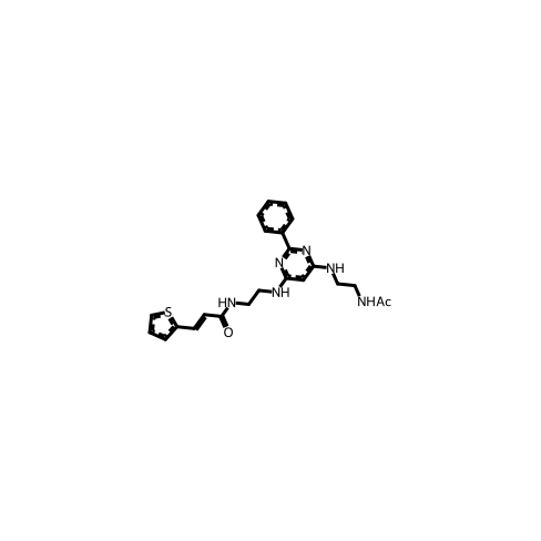 CC(=O)NCCNc1cc(NCCNC(=O)/C=C/c2cccs2)nc(-c2ccccc2)n1